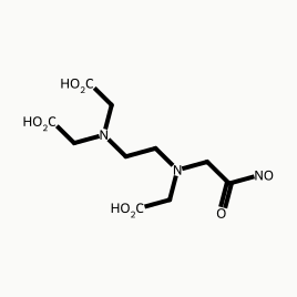 O=NC(=O)CN(CCN(CC(=O)O)CC(=O)O)CC(=O)O